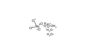 O.O.O.O.O.[Cl][Pb]([Cl])([Cl])[Cl]